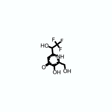 O=c1cc(C(O)C(F)(F)F)[nH]c(CO)c1O